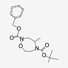 CC1CN(C(=O)OCc2ccccc2)OCCN1C(=O)OC(C)(C)C